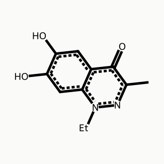 CCn1nc(C)c(=O)c2cc(O)c(O)cc21